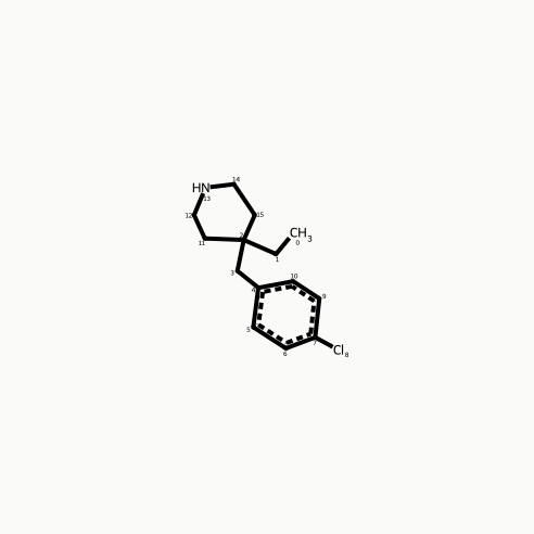 CCC1(Cc2ccc(Cl)cc2)CCNCC1